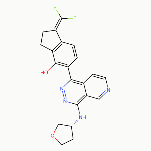 Oc1c(-c2nnc(N[C@@H]3CCOC3)c3cnccc23)ccc2c1CCC2=C(F)F